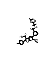 CCNc1nc2oc(-c3ccc(C)cc3)c(C(=O)NC)c2cc1-c1cccc(C(=O)NC(C)(C)c2nc(C)no2)c1